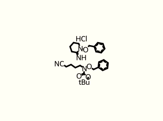 CC(C)(C)OC(=O)N(CCCCC#N)OCc1ccccc1.Cl.N=C1CCCCN1OCc1ccccc1